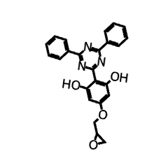 Oc1cc(OCC2CO2)cc(O)c1-c1nc(-c2ccccc2)nc(-c2ccccc2)n1